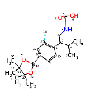 CC(C)C(CNC(=O)O)c1ccc(B2OC(C)(C)C(C)(C)O2)cc1F